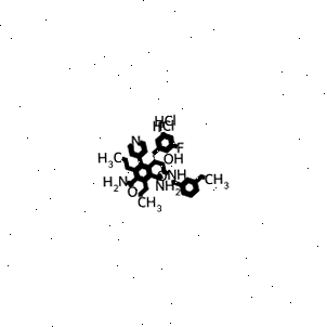 CCCc1c(C(N)=O)c(CCC)c(-c2ccncc2)c([C@H](Cc2cc(F)cc(F)c2)[C@@H](O)CNCc2cccc(CC)c2)c1C(N)=O.Cl.Cl